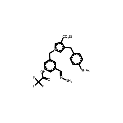 CCOC(=O)c1cn(Cc2cccc(C=NN)c2)cc1Cc1ccc(NC(C)=O)cc1.O=C(O)C(F)(F)F